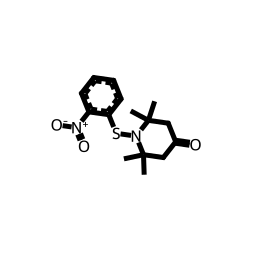 CC1(C)CC(=O)CC(C)(C)N1Sc1ccccc1[N+](=O)[O-]